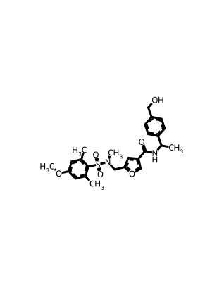 COc1cc(C)c(S(=O)(=O)N(C)Cc2cc(C(=O)NC(C)c3ccc(CO)cc3)co2)c(C)c1